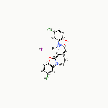 CCC(=Cc1oc2ccc(Cl)cc2[n+]1CC)C=C1Oc2ccc(Cl)cc2N1CC.[I-]